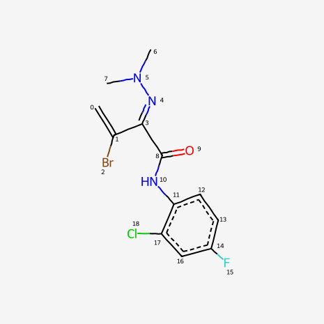 C=C(Br)/C(=N\N(C)C)C(=O)Nc1ccc(F)cc1Cl